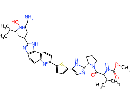 COC(=O)N[C@H](C(=O)N1CCC[C@H]1c1ncc(-c2ccc(-c3ccc4c(ccc5nc(C(CCCN)C[C@@H](NO)C(C)C)[nH]c54)n3)s2)[nH]1)C(C)C